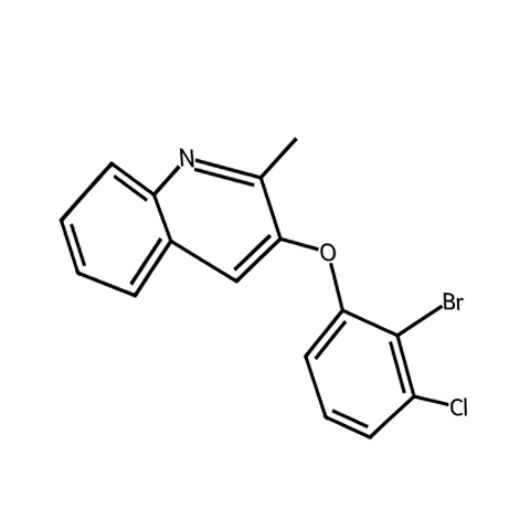 Cc1nc2ccccc2cc1Oc1cccc(Cl)c1Br